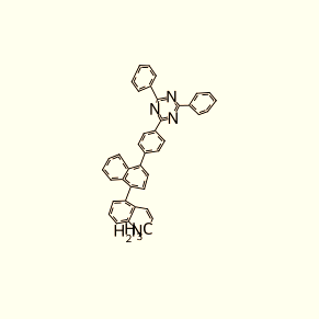 C/C=C\c1c(N)cccc1-c1ccc(-c2ccc(-c3nc(-c4ccccc4)nc(-c4ccccc4)n3)cc2)c2ccccc12